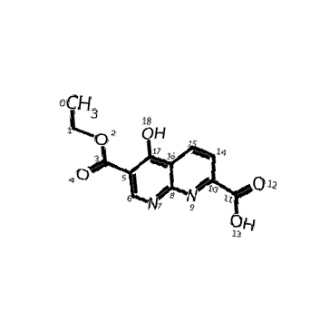 CCOC(=O)c1cnc2nc(C(=O)O)ccc2c1O